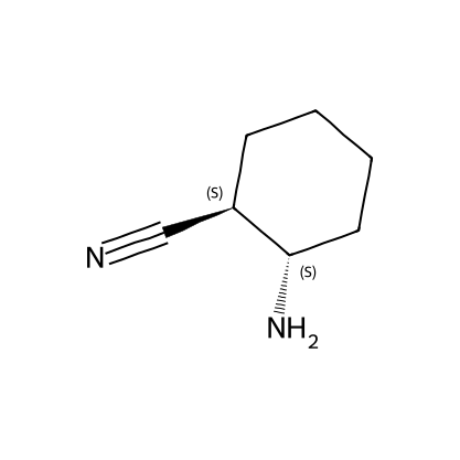 N#C[C@H]1CCCC[C@@H]1N